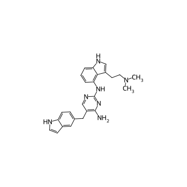 CN(C)CCc1c[nH]c2cccc(Nc3ncc(Cc4ccc5[nH]ccc5c4)c(N)n3)c12